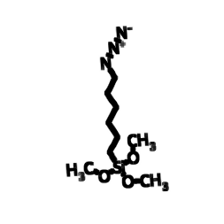 CO[Si](CCCCCCN=[N+]=[N-])(OC)OC